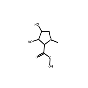 CN1CC(O)C(O)C1C(=O)OO